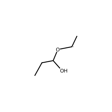 C[CH]OC(O)CC